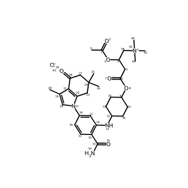 CC(=O)OC(CC(=O)OC1CCC(Nc2cc(-n3cc(C)c4c3CC(C)(C)CC4=O)ccc2C(N)=O)CC1)C[N+](C)(C)C.[Cl-]